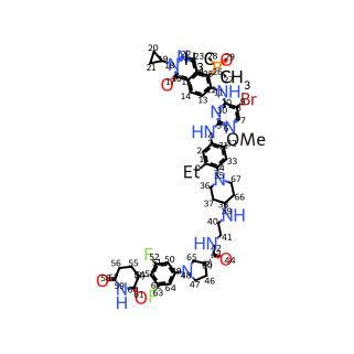 CCc1cc(Nc2ncc(Br)c(Nc3ccc4c(=O)n(C5CC5)ncc4c3P(C)(C)=O)n2)c(OC)cc1N1CCC(NCCNC(=O)[C@@H]2CCN(c3cc(F)c([C@H]4CCC(=O)NC4=O)c(F)c3)C2)CC1